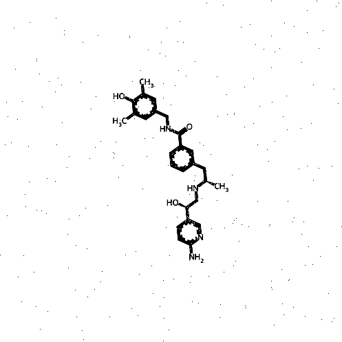 Cc1cc(CNC(=O)c2cccc(C[C@@H](C)NC[C@H](O)c3ccc(N)nc3)c2)cc(C)c1O